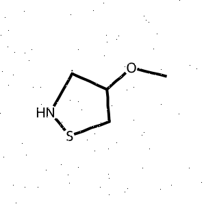 COC1[CH]NSC1